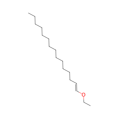 CCCCCCCCCCCCC/C=C/OCC